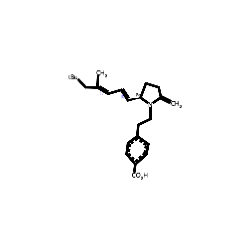 C=C1CC[C@H](/C=C/C=C(\C)CC(C)(C)C)N1CCc1ccc(C(=O)O)cc1